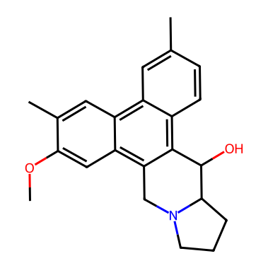 COc1cc2c3c(c4ccc(C)cc4c2cc1C)C(O)C1CCCN1C3